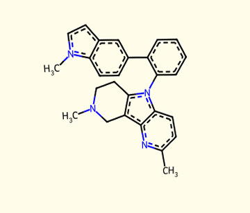 Cc1ccc2c(n1)c1c(n2-c2ccccc2-c2ccc3c(ccn3C)c2)CCN(C)C1